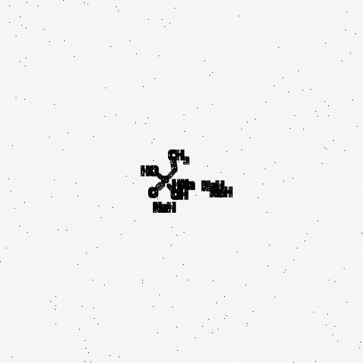 C=CP(=O)(O)O.[NaH].[NaH].[NaH].[NaH]